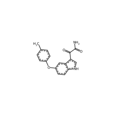 Cc1ccc(Oc2ccc3[nH]cc(C(=O)C(N)=O)c3c2)cc1